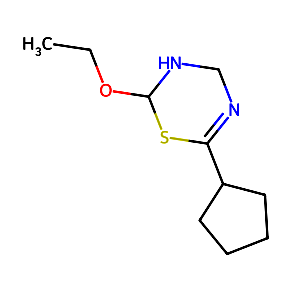 CCOC1NCN=C(C2CCCC2)S1